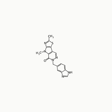 Cc1nc2c(s1)c1cnn(Cc3ccc4[nH]cnc4c3)c(=O)c1n2C